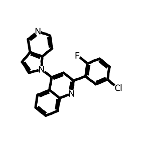 Fc1ccc(Cl)cc1-c1cc(-n2ccc3cnccc32)c2ccccc2n1